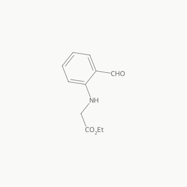 CCOC(=O)CNc1ccccc1C=O